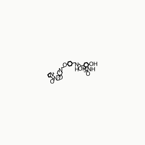 Cn1cccc1C(=O)N1CCOC2(CCN(CCOc3ccc(CNCC(O)c4ccc(O)c5[nH]c(=O)sc45)cc3)CC2)C1